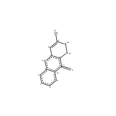 O=c1c2c(oc3ccccc13)C=C(Cl)SS2